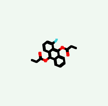 CCC(=O)Oc1c2ccccc2c(OC(=O)CC)c2c(F)cccc12